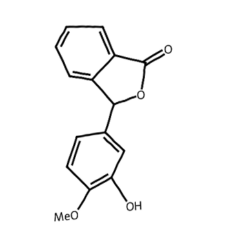 COc1ccc(C2OC(=O)c3ccccc32)cc1O